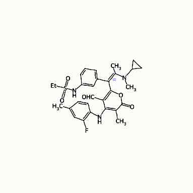 CCS(=O)(=O)Nc1cccc(/C(=C(\C)N(C)C2CC2)c2oc(=O)c(C)c(Nc3ccc(C)cc3F)c2C=O)c1